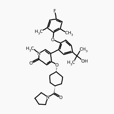 Cc1cc(F)cc(C)c1Oc1ccc(C(C)(C)O)cc1-c1cn(C)c(=O)cc1O[C@H]1CC[C@@H](C(=O)N2CCCC2)CC1